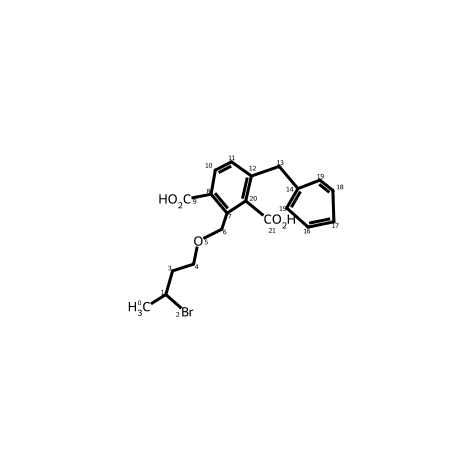 CC(Br)CCOCc1c(C(=O)O)ccc(Cc2ccccc2)c1C(=O)O